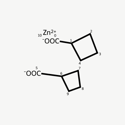 O=C([O-])C1CCC1.O=C([O-])C1CCC1.[Zn+2]